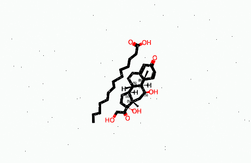 CCCCCCCCCCCCCC(=O)O.C[C@]12C=CC(=O)C=C1CC[C@@H]1[C@@H]2[C@@H](O)C[C@@]2(C)[C@H]1CC[C@]2(O)C(=O)CO